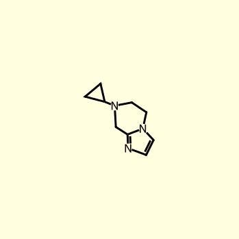 c1cn2c(n1)CN(C1CC1)CC2